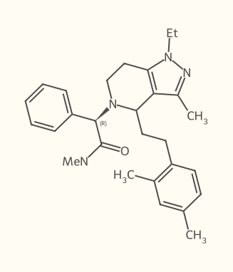 CCn1nc(C)c2c1CCN([C@@H](C(=O)NC)c1ccccc1)C2CCc1ccc(C)cc1C